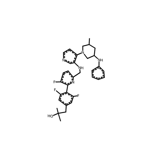 CC1CC(Nc2ccccc2)CN(c2ccncc2NCc2ccc(F)c(-c3c(F)cc(CC(C)(C)O)cc3F)n2)C1